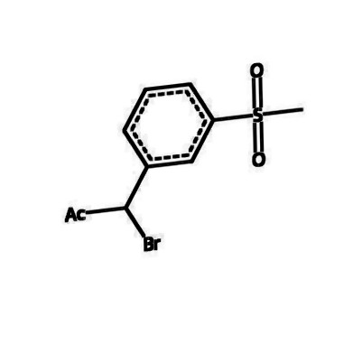 CC(=O)C(Br)c1cccc(S(C)(=O)=O)c1